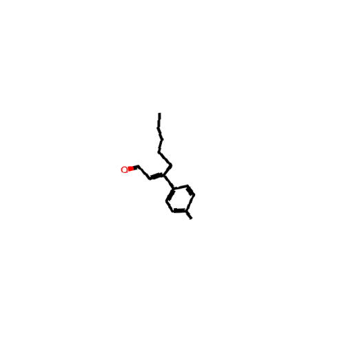 CCCCCC(=CC=O)c1ccc(C)cc1